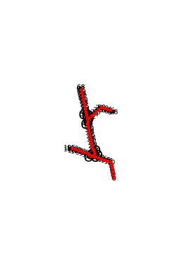 CCCCCCC/C=C/C/C=C\CCCCCCCC(=O)OC(COC(=O)CCCCCCC/C=C/CCCCCCCC(=O)OCC(COC(=O)CCCCCCCCCCCCCCCCC)OC(=O)CCCCCCC/C=C\CCCCCCCC)COC(=O)CCCCCCCCCCCCC